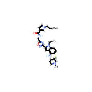 CCN1CC[C@H](Nc2cccc3c2cc(-c2noc(CNC(=O)c4ccn(CCOC)c4)n2)n3CC(F)(F)F)[C@H](F)C1